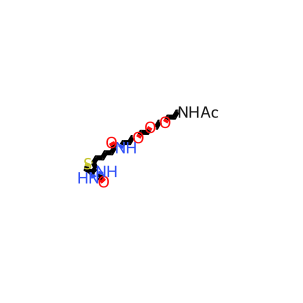 CC(=O)NCCCOCCOCCOCCCNC(=O)CCCCC1SCC2NC(=O)NC21